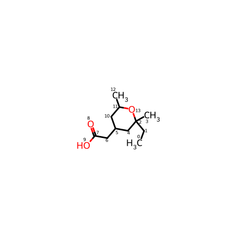 CCC1(C)CC(CC(=O)O)CC(C)O1